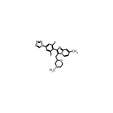 Cc1ccn2c(CC3CN(C)CCO3)c(-c3c(F)cc(-n4cnnn4)cc3F)nc2c1